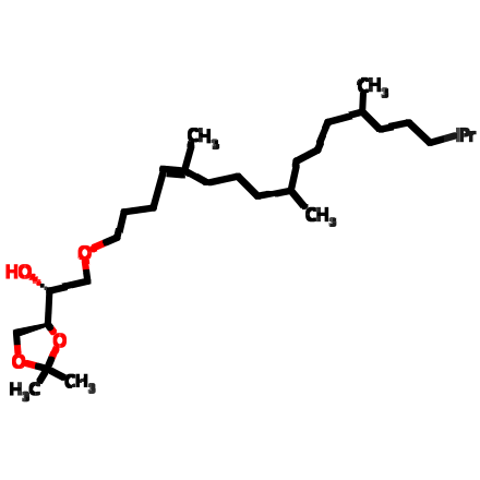 CC(=CCCCOC[C@@H](O)[C@@H]1COC(C)(C)O1)CCCC(C)CCCC(C)CCCC(C)C